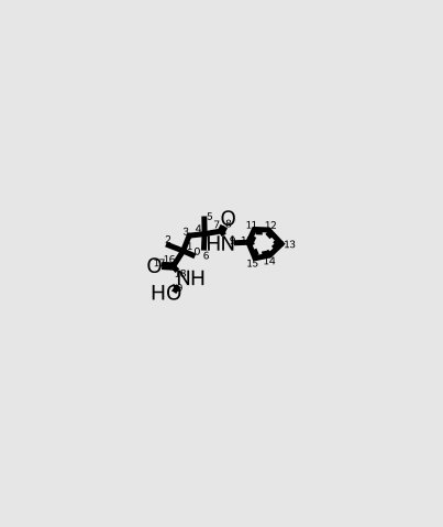 CC(C)(CC(C)(C)C(=O)Nc1ccccc1)C(=O)NO